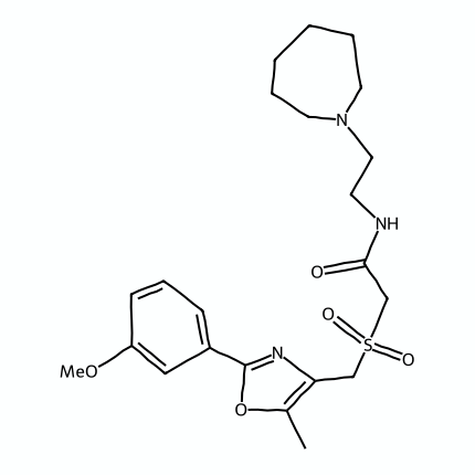 COc1cccc(-c2nc(CS(=O)(=O)CC(=O)NCCN3CCCCCC3)c(C)o2)c1